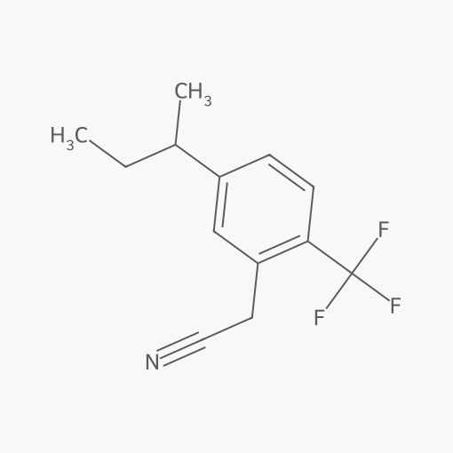 CCC(C)c1ccc(C(F)(F)F)c(CC#N)c1